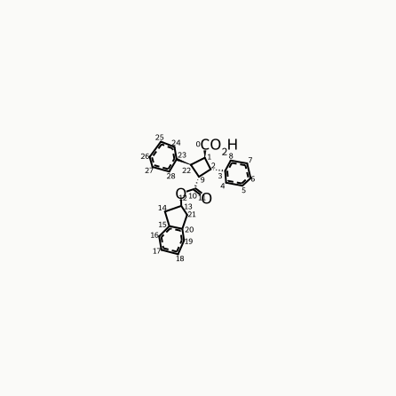 O=C(O)[C@H]1[C@H](c2ccccc2)[C@H](C(=O)OC2Cc3ccccc3C2)[C@H]1c1ccccc1